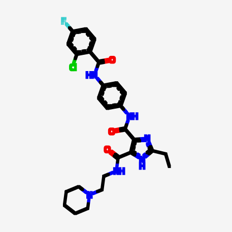 CCc1nc(C(=O)Nc2ccc(NC(=O)c3ccc(F)cc3Cl)cc2)c(C(=O)NCCN2CCCCC2)[nH]1